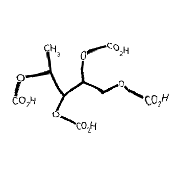 CC(OC(=O)O)C(OC(=O)O)C(COC(=O)O)OC(=O)O